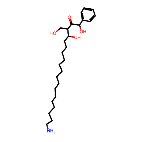 NCCCCCCCCCCCCCCCC(O)C(CO)C(=O)C(O)c1ccccc1